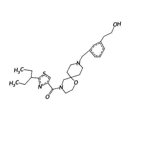 CCC(CC)c1nc(C(=O)N2CCOC3(CCN(Cc4cccc(CCO)c4)CC3)C2)cs1